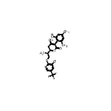 Cc1cc(C)c(C2=C(O)CC(C(C)CSc3ncc(C(F)(F)F)cc3Cl)OC2=O)c(C)c1